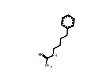 N=C(N)NCCCCc1ccccc1